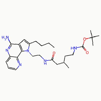 CCCCc1cc2c(N)nc3cccnc3c2n1CCNC(=O)CC(C)CCNC(=O)OC(C)(C)C